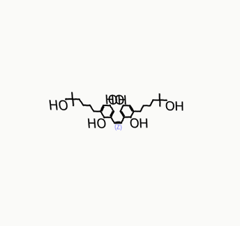 CC(C)(CO)CCCCC1=CC(O)C=C(/C=C\C2=CC(O)C=C(CCCCC(C)(C)CO)C2O)C1O